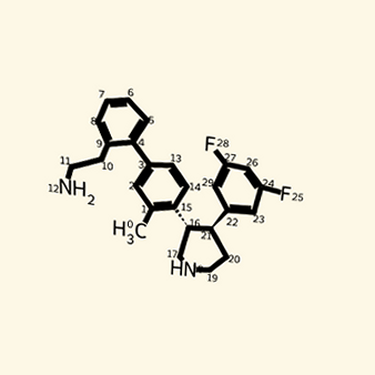 Cc1cc(-c2ccccc2CCN)ccc1[C@H]1CNCC[C@@H]1c1cc(F)cc(F)c1